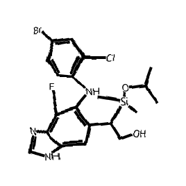 CC(C)O[Si](C)(C)C(CO)c1cc2[nH]cnc2c(F)c1Nc1ccc(Br)cc1Cl